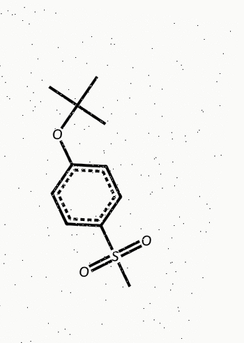 CC(C)(C)Oc1ccc(S(C)(=O)=O)cc1